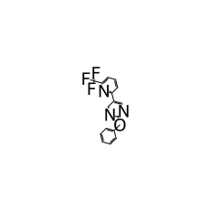 FC(F)(F)c1cccc(-c2cnc(Oc3ccccc3)nc2)n1